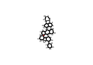 C1=CC2c3cccc4c(-c5c6ccccc6c(-c6ccc(-c7ccccc7)c7oc8ccccc8c67)c6ccccc56)ccc(c34)C2C=C1